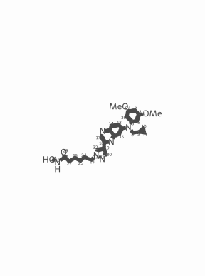 COc1cc(OC)cc(N(CC2CC2)c2ccc3ncc(-c4cnn(CCCCCC(=O)NO)c4)nc3c2)c1